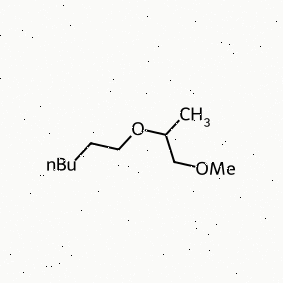 CCCCCCOC(C)COC